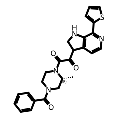 C[C@@H]1CN(C(=O)c2ccccc2)CCN1C(=O)C(=O)C1CNc2c1ccnc2-c1cccs1